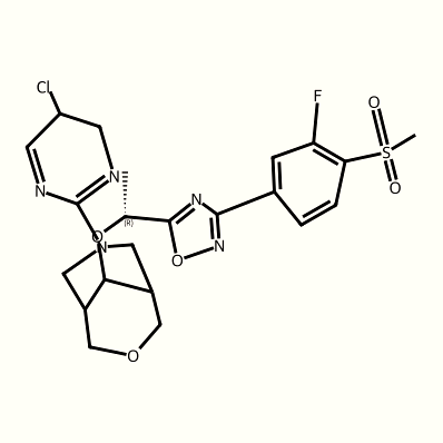 C[C@@H](OC1C2COCC1CN(C1=NCC(Cl)C=N1)C2)c1nc(-c2ccc(S(C)(=O)=O)c(F)c2)no1